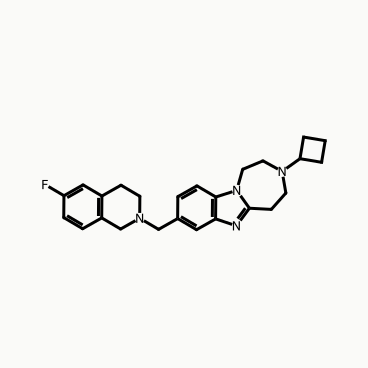 Fc1ccc2c(c1)CCN(Cc1ccc3c(c1)nc1n3CCN(C3CCC3)CC1)C2